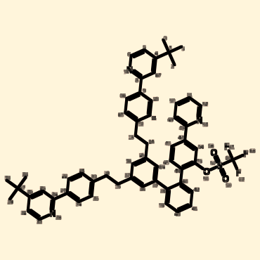 CC(C)(C)c1ccnc(-c2ccc(CCc3cc(CCc4ccc(-c5cc(C(C)(C)C)ccn5)cc4)cc(-c4ccccc4-c4ccc(-c5ccccn5)cc4OS(=O)(=O)C(F)(F)F)c3)cc2)c1